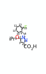 CC(C)Oc1cc(C(=O)O)nn1Cc1ccccc1F